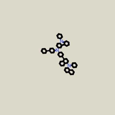 c1ccc(-c2ccc(N(c3ccc(-c4ccc(N(c5ccccc5)c5cccc6ccccc56)c5ccccc45)cc3)c3ccc4c(c3)c3ccccc3n4-c3ccccc3)cc2)cc1